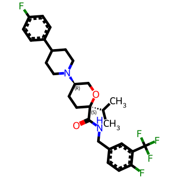 CC(C)[C@]1(C(=O)NCc2ccc(F)c(C(F)(F)F)c2)CC[C@@H](N2CCC(c3ccc(F)cc3)CC2)CO1